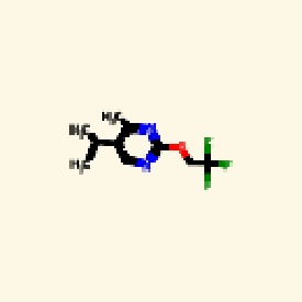 Cc1nc(OCC(F)(F)F)ncc1C(C)C